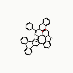 C/N=C(\N=C(\c1ccccc1)c1ccc2ccccc2c1)c1cccc2oc3cccc(-c4ccc5c6ccccc6c6ccccc6c5c4)c3c12